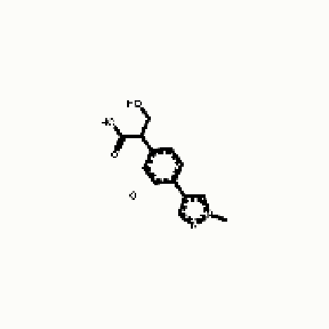 Cn1cc(-c2ccc(C(CO)C(=O)O)cc2)cn1.[O]